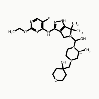 CCOc1ncc(F)c(Nc2n[nH]c3c2CN(C(O)N2CCN(CC4(O)CCOCC4)C[C@@H]2C)C3(C)C)n1